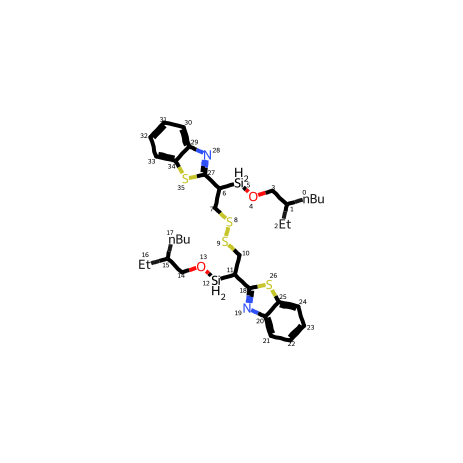 CCCCC(CC)CO[SiH2]C(CSSCC([SiH2]OCC(CC)CCCC)c1nc2ccccc2s1)c1nc2ccccc2s1